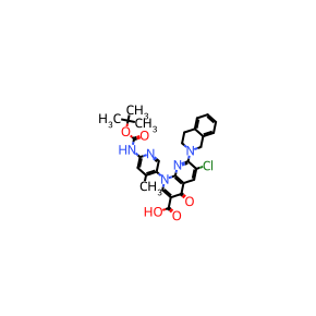 Cc1cc(NC(=O)OC(C)(C)C)ncc1-n1cc(C(=O)O)c(=O)c2cc(Cl)c(N3CCc4ccccc4C3)nc21